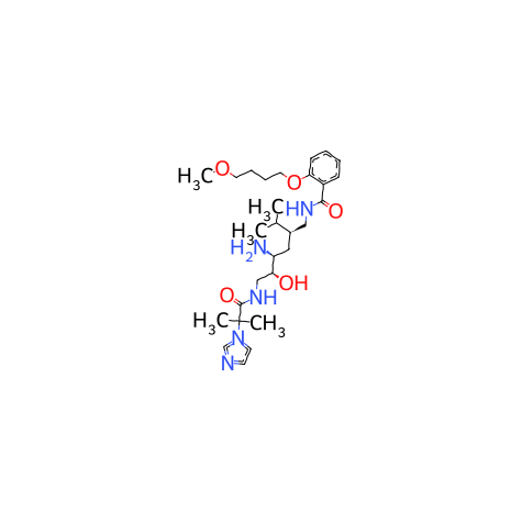 COCCCCOc1ccccc1C(=O)NC[C@@H](C[C@H](N)[C@@H](O)CNC(=O)C(C)(C)n1ccnc1)C(C)C